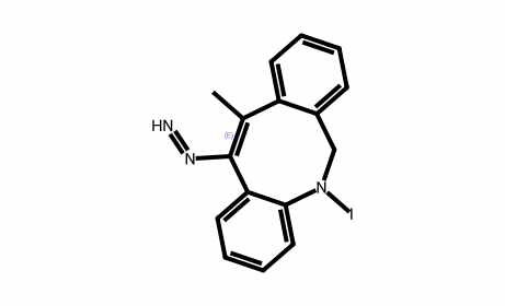 C/C1=C(\N=N)c2ccccc2N(I)Cc2ccccc21